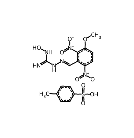 COc1ccc([N+](=O)[O-])c(/C=N/NC(=N)NO)c1[N+](=O)[O-].Cc1ccc(S(=O)(=O)O)cc1